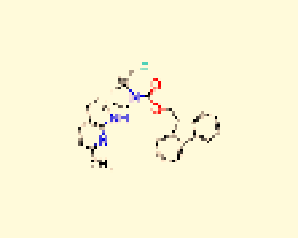 Cc1ccc2c(n1)N[C@@]1(CC2)C[C@H](CF)N(C(=O)OCC2c3ccccc3-c3ccccc32)C1